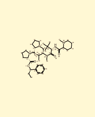 CC[C@@H](OC(=O)[C@@H]1CCCN1C(=O)[C@@H]1CCCN1C[C@H](C(C)C)N(C)C(=O)[C@@H](NC(=O)C1CCCCN1C)C(C)(C)C)c1ccccc1